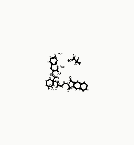 CNC(=O)C(Cc1ccc(OC)cc1)NC(=O)C1(NC(CCN2C(=O)c3cc4ccccc4cc3C2=O)C(=O)O)CCCCC1.O=C(O)C(F)(F)F